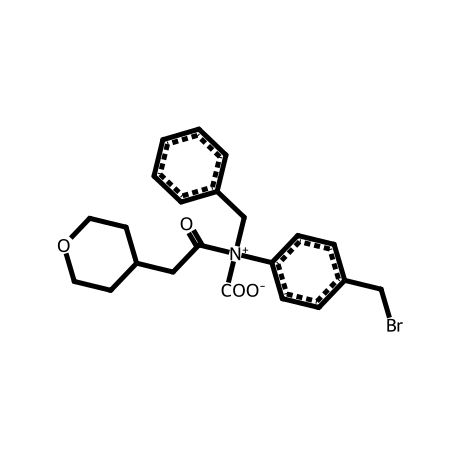 O=C([O-])[N+](Cc1ccccc1)(C(=O)CC1CCOCC1)c1ccc(CBr)cc1